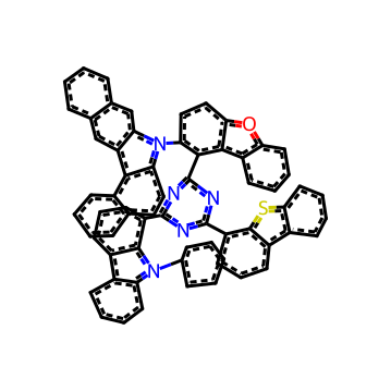 c1ccc(-n2c3ccccc3c3cccc(-c4nc(-c5cccc6c5sc5ccccc56)nc(-c5c(-n6c7cc8ccccc8cc7c7c8ccccc8ccc76)ccc6oc7ccccc7c56)n4)c32)cc1